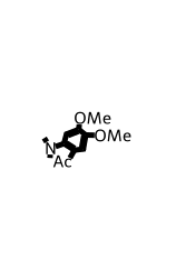 COc1cc(C(C)=O)c(N(C)C)cc1OC